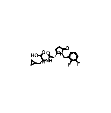 O=C(C[C@@H]1CCC(=O)N1Cc1cccc(F)c1F)N[C@@H](CC1CC1)C(=O)O